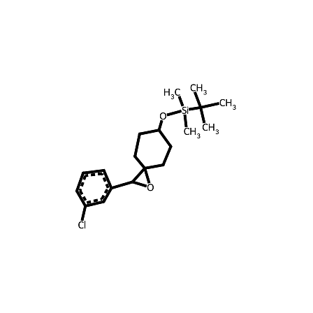 CC(C)(C)[Si](C)(C)OC1CCC2(CC1)OC2c1cccc(Cl)c1